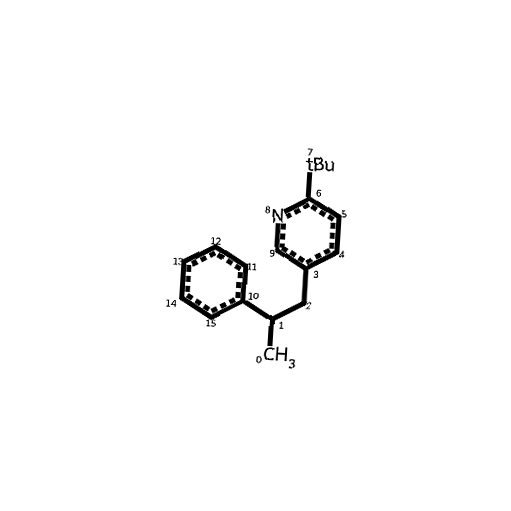 CC(Cc1ccc(C(C)(C)C)nc1)c1ccccc1